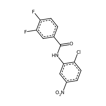 O=C(Nc1cc([N+](=O)[O-])ccc1Cl)c1ccc(F)c(F)c1